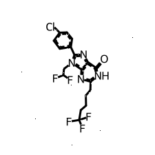 O=c1[nH]c(CCCCC(F)(F)F)nc2c1nc(-c1ccc(Cl)cc1)n2CC(F)F